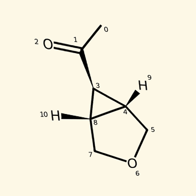 CC(=O)[C@H]1[C@@H]2COC[C@@H]21